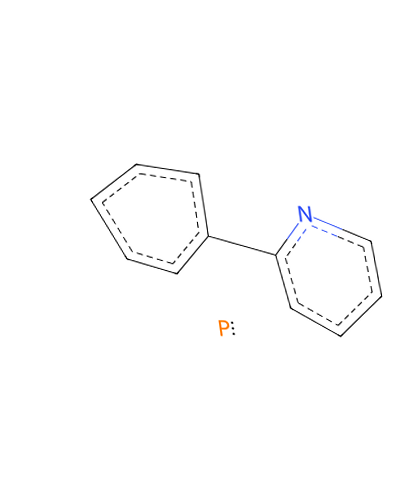 [P].c1ccc(-c2ccccn2)cc1